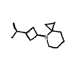 CC(C)C1CC(N2CCCCC23CC3)C1